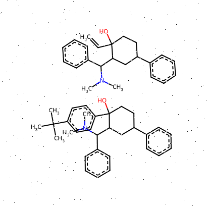 C=CC1(O)CCC(c2ccccc2)CC1C(c1ccccc1)N(C)C.CN(C)C(c1ccccc1)C1CC(c2ccccc2)CCC1(O)c1ccc(C(C)(C)C)cc1